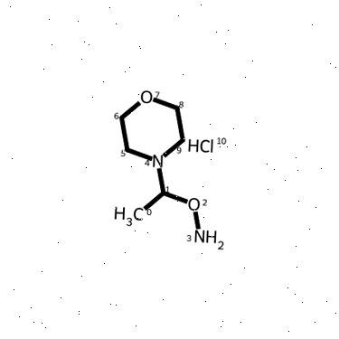 CC(ON)N1CCOCC1.Cl